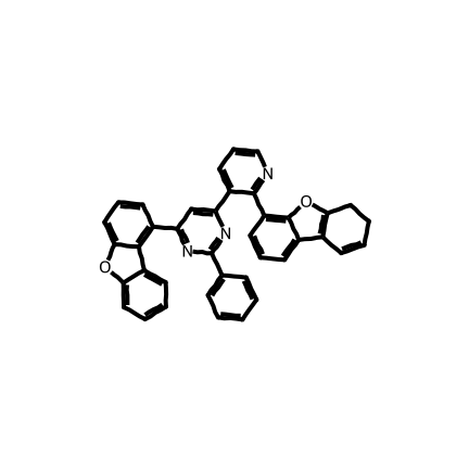 C1=Cc2c(oc3c(-c4ncccc4-c4cc(-c5cccc6oc7ccccc7c56)nc(-c5ccccc5)n4)cccc23)CC1